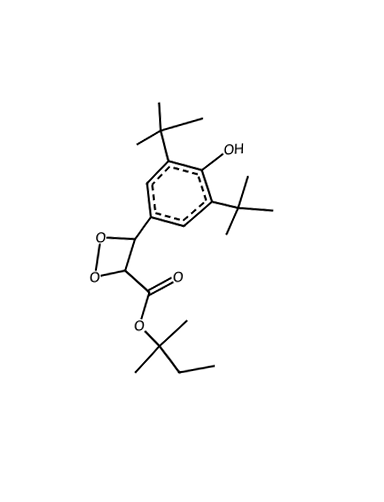 CCC(C)(C)OC(=O)C1OOC1c1cc(C(C)(C)C)c(O)c(C(C)(C)C)c1